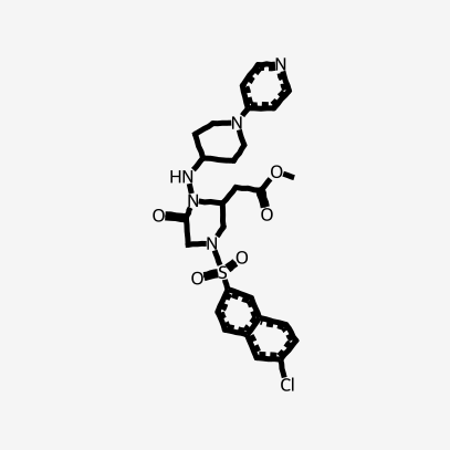 COC(=O)CC1CN(S(=O)(=O)c2ccc3cc(Cl)ccc3c2)CC(=O)N1NC1CCN(c2ccncc2)CC1